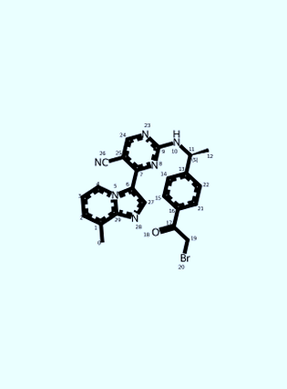 Cc1cccn2c(-c3nc(N[C@@H](C)c4ccc(C(=O)CBr)cc4)ncc3C#N)cnc12